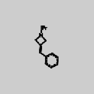 CC(C)N1CC(=Cc2ccccc2)C1